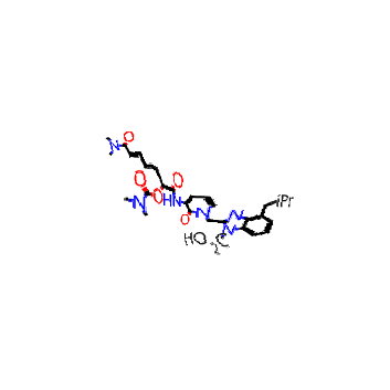 CC(C)Cc1cccc2c1nc(Cn1cccc(NC(=O)C(CC/C=C/C(=O)N(C)C)OC(=O)N(C)C)c1=O)n2C(=O)O